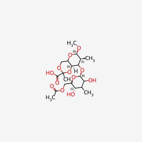 CO[C@@H]1OC2COC(C)(C(=O)O)O[C@@H]2C(O[C@@H]2OC(COC(C)=O)[C@@H](O)C(C)C2O)[C@@H]1C